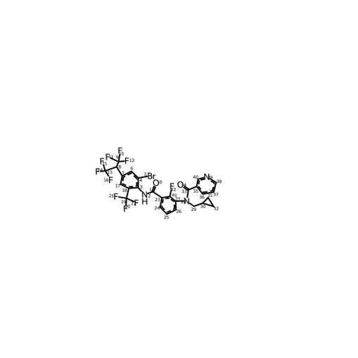 O=C(Nc1c(Br)cc(C(C(F)(F)F)C(F)(F)F)cc1C(F)(F)F)c1cccc(N(CC2CC2)C(=O)c2cccnc2)c1F